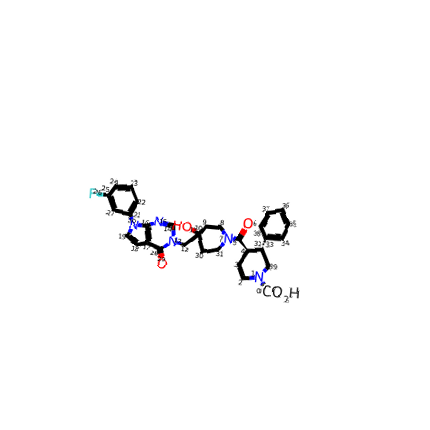 O=C(O)N1CC[C@@H](C(=O)N2CCC(O)(Cn3cnc4c(ccn4-c4cccc(F)c4)c3=O)CC2)[C@H](c2ccccc2)C1